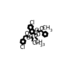 CCCOc1c(OCCC)c(OC(=O)C(OC)c2ccccc2)c2cc(Cl)ccc2c1OC(=O)Cc1ccc(Cl)cc1